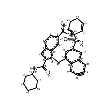 N=C(N)c1ccc2cc(C(=O)NC3CCCCC3)n(Cc3cc(S(=O)(=O)C4=CCCC=C4)cc4cc#ccc34)c2c1